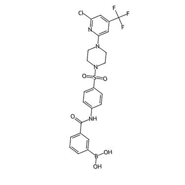 O=C(Nc1ccc(S(=O)(=O)N2CCN(c3cc(C(F)(F)F)cc(Cl)n3)CC2)cc1)c1cccc(B(O)O)c1